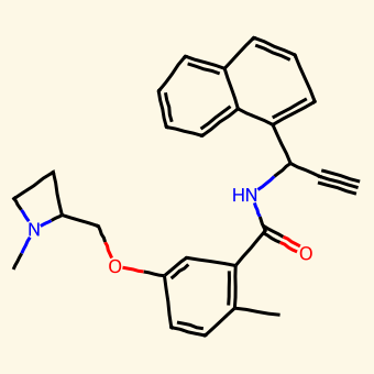 C#CC(NC(=O)c1cc(OCC2CCN2C)ccc1C)c1cccc2ccccc12